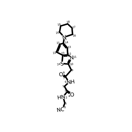 N#CCNC(=O)CNC(=O)Cc1nc2cc(N3CCCCC3)ccc2s1